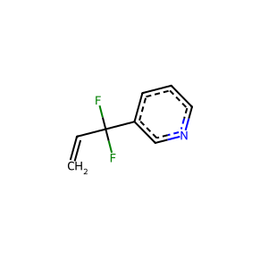 C=CC(F)(F)c1cccnc1